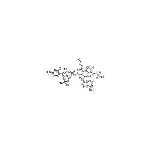 C=CCCC(=O)N(C1C(COP(=O)(O)O[C@H]2[C@@H](O)[C@H](n3ccc(N)nc3=O)O[C@@H]2COP(=O)(O)O)OC(n2cnc3c(N)ncnc32)C1O)[C@H](COCCC(C)(C)O)C(=O)O